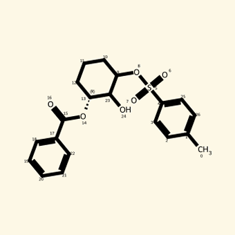 Cc1ccc(S(=O)(=O)OC2CCC[C@@H](OC(=O)c3ccccc3)C2O)cc1